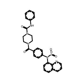 O=C(Nc1ccccc1)N1CCN(C(=O)c2ccc(N(c3cccc4cccnc34)[SH](=O)=O)cc2)CC1